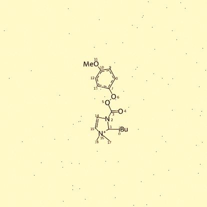 CCC(C)C1N(C(=O)OOc2ccc(OC)cc2)C=C[N+]1(C)C